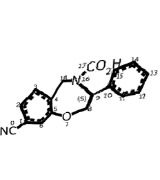 N#Cc1ccc2c(c1)OC[C@H](c1ccccc1)N(C(=O)O)C2